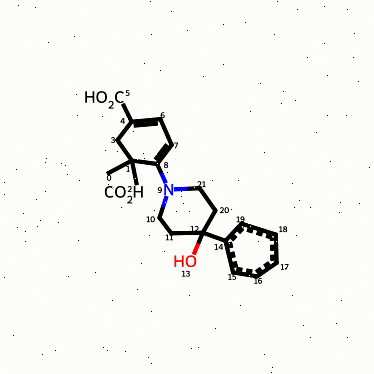 CC1(C(=O)O)CC(C(=O)O)=CC=C1N1CCC(O)(c2ccccc2)CC1